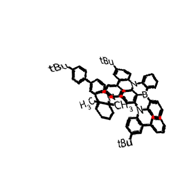 CC(C)(C)c1ccc(-c2ccc3c(c2)C2(C)CCCCC2(C)N3c2cc3c4c(c2)N(c2ccc(C(C)(C)C)cc2-c2ccccc2)c2ccccc2B4c2ccccc2N3c2ccc(C(C)(C)C)cc2-c2ccccc2)cc1